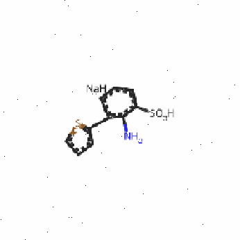 Nc1c(-c2cccs2)cccc1S(=O)(=O)O.[NaH]